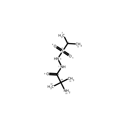 CC(C)S(=O)(=O)NNC(=O)C(C)(C)N